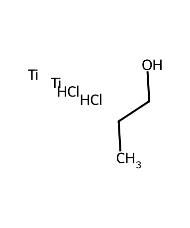 CCCO.Cl.Cl.[Ti].[Ti]